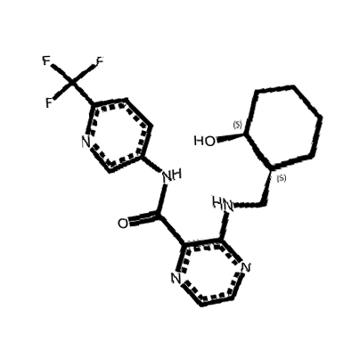 O=C(Nc1ccc(C(F)(F)F)nc1)c1nccnc1NC[C@@H]1CCCC[C@@H]1O